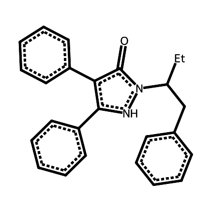 CCC(Cc1ccccc1)n1[nH]c(-c2ccccc2)c(-c2ccccc2)c1=O